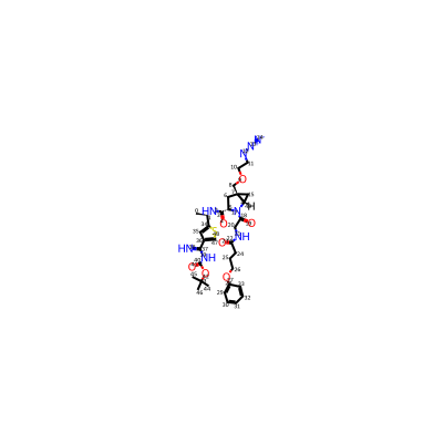 C[C@@H](NC(=O)[C@@H]1C[C@]2(COCCN=[N+]=[N-])C[C@@H]2N1C(=O)CNC(=O)CCCOc1ccccc1)c1cc(C(=N)NC(=O)OC(C)(C)C)cs1